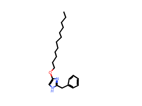 CCCCCCCCCCCCOc1c[nH]c(Cc2ccccc2)n1